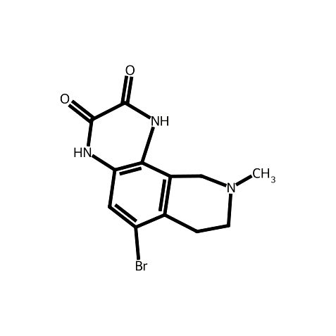 CN1CCc2c(Br)cc3[nH]c(=O)c(=O)[nH]c3c2C1